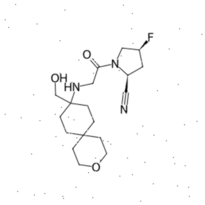 N#C[C@@H]1C[C@H](F)CN1C(=O)CNC1(CO)CCC2(CCOCC2)CC1